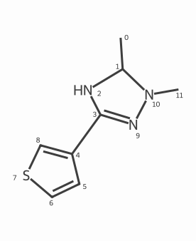 CC1NC(c2ccsc2)=NN1C